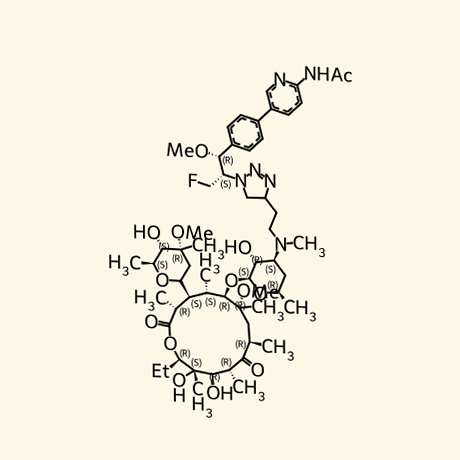 CC[C@H]1OC(=O)[C@H](C)[C@@H](C2C[C@@](C)(OC)[C@@H](O)[C@H](C)O2)[C@H](C)[C@@H](O[C@@H]2O[C@H](C)C[C@H](N(C)CCC3CN([C@H](CF)[C@H](OC)c4ccc(-c5ccc(NC(C)=O)nc5)cc4)N=N3)[C@H]2O)[C@](C)(OC)C[C@@H](C)C(=O)[C@H](C)[C@@H](O)[C@]1(C)O